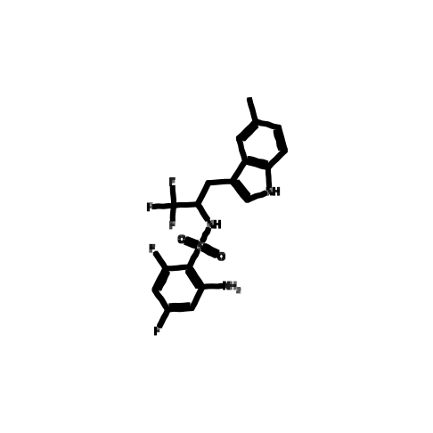 Cc1ccc2[nH]cc(CC(NS(=O)(=O)c3c(N)cc(F)cc3F)C(F)(F)F)c2c1